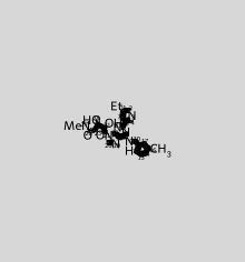 CCc1cncc(-c2nc(NCc3cccc(C)c3)c3ncn([C@@H]4O[C@H](C(=O)NC)[C@@H](O)[C@H]4O)c3n2)c1